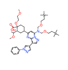 COCCOC1(C(=O)O)CCC(c2cc(N(COCC[Si](C)(C)C)COCC[Si](C)(C)C)n3ncc(-c4cnn(-c5ccccc5)c4)c3n2)CC1C(C)OC